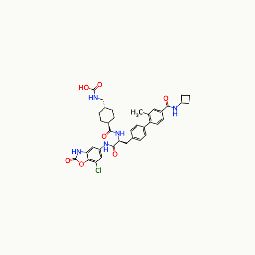 Cc1cc(C(=O)NC2CCC2)ccc1-c1ccc(C[C@H](NC(=O)[C@H]2CC[C@H](CNC(=O)O)CC2)C(=O)Nc2cc(Cl)c3oc(=O)[nH]c3c2)cc1